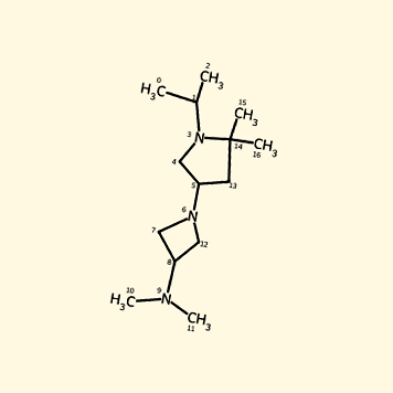 CC(C)N1CC(N2CC(N(C)C)C2)CC1(C)C